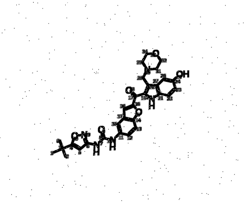 CC(C)(C)c1cc(NC(=O)Nc2ccc3oc(C(=O)c4[nH]c5ccc(O)cc5c4CN4CCOCC4)cc3c2)no1